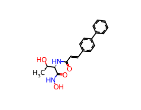 C[C@@H](O)[C@H](NC(=O)/C=C/c1ccc(-c2ccccc2)cc1)C(=O)NO